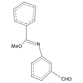 CO/C(=N\c1cccc(C=O)c1)c1ccccc1